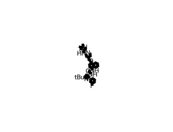 Cc1ncc(Nc2cc(COc3ccc(NC(=O)Nc4cc(C(C)(C)C)nn4-c4cccc(F)c4)c4ccccc34)ccn2)nc1C